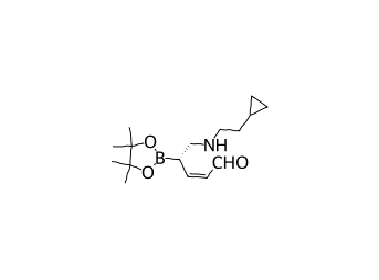 CC1(C)OB([C@@H](/C=C\C=O)CNCCC2CC2)OC1(C)C